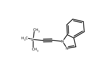 C[Si](C)(C)C#Cn1ncc2ccccc21